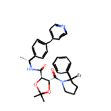 CCC1(c2ccccc2)CCCN1C(=O)[C@@H]1OC(C)(C)O[C@H]1C(=O)N[C@H](C)c1ccc(-c2ccncc2)cc1